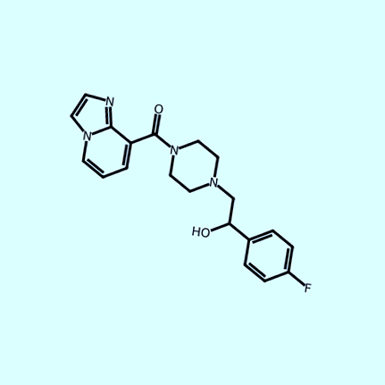 O=C(c1cccn2ccnc12)N1CCN(CC(O)c2ccc(F)cc2)CC1